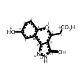 O=C(O)Cc1oc2ccc(O)cc2c2n[nH]c(=O)c1-2